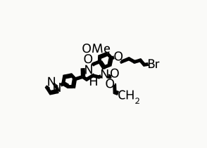 C=CCOC(=O)N1C[C@@H]2CC(c3ccc(-n4cccn4)cc3)=CN2C(=O)c2cc(OC)c(OCCCCCBr)cc21